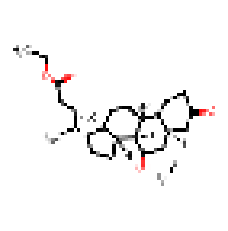 CCOC(=O)CCC(C)[C@H]1CC[C@H]2[C@@H]3[C@H](O)[C@@H](CC)[C@@H]4CC(=O)CC[C@]4(C)[C@H]3CC[C@]12C